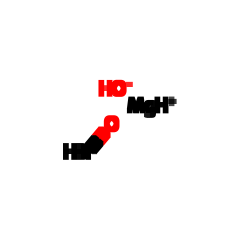 [MgH+].[OH-].[O]=[BiH]